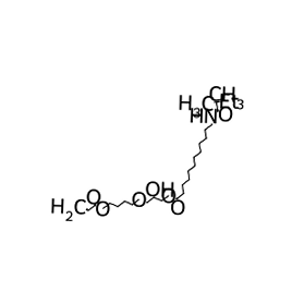 C=CC(=O)OCCCCOCC(O)COC(=O)CCCCCCCCCCCNC(=O)C(C)(C)CC